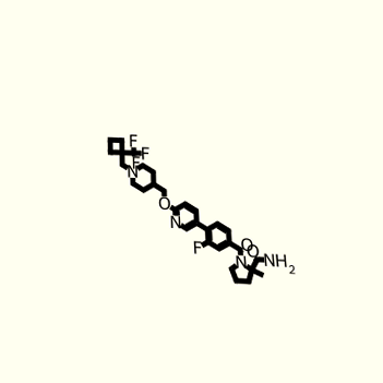 CC1(C(N)=O)CCCN1C(=O)c1ccc(-c2ccc(OCC3CCN(CC4(C(F)(F)F)CCC4)CC3)nc2)c(F)c1